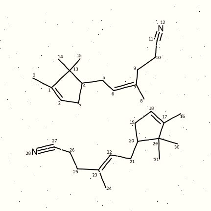 CC1=CCC(C/C=C(/C)CCC#N)C1(C)C.CC1=CCC(C/C=C(\C)CCC#N)C1(C)C